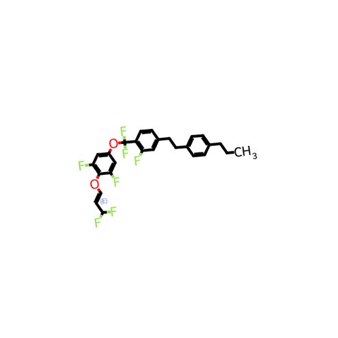 CCCc1ccc(CCc2ccc(C(F)(F)Oc3cc(F)c(O/C=C/C(F)F)c(F)c3)c(F)c2)cc1